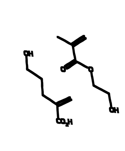 C=C(C)C(=O)OCCO.C=C(CCCO)C(=O)O